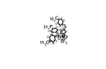 Cc1ccc(Sc2ccc(S(OS(=O)(=O)C(F)(F)F)(c3ccc(C)cc3)c3ccc(C)cc3)s2)cc1